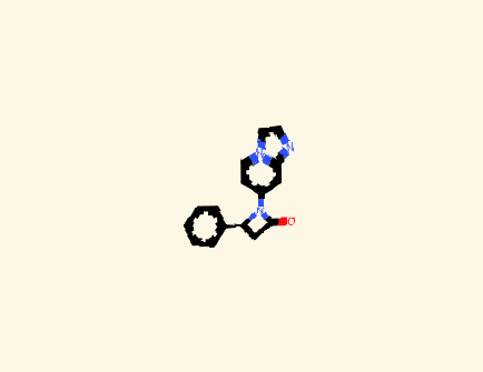 O=C1C[C@@H](c2ccccc2)N1c1ccn2ccnc2c1